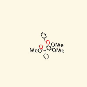 COC(=O)C(c1cc(OC)c(OC)c(OCc2ccccc2)c1)C1C=CCCC1